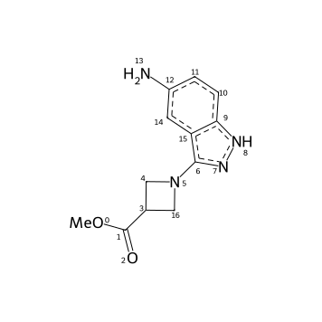 COC(=O)C1CN(c2n[nH]c3ccc(N)cc23)C1